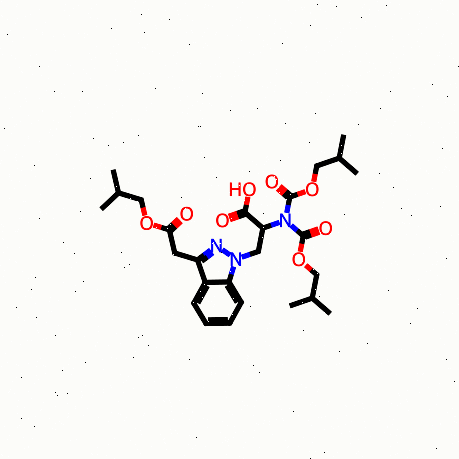 CC(C)COC(=O)Cc1nn(CC(C(=O)O)N(C(=O)OCC(C)C)C(=O)OCC(C)C)c2ccccc12